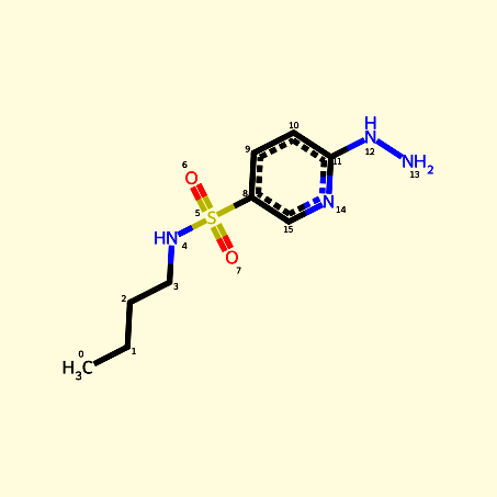 CCCCNS(=O)(=O)c1ccc(NN)nc1